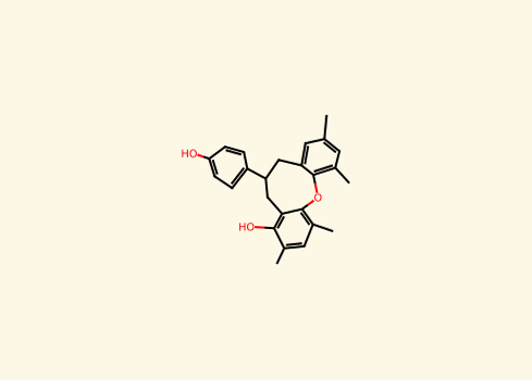 Cc1cc(C)c2c(c1)CC(c1ccc(O)cc1)Cc1c(O)c(C)cc(C)c1O2